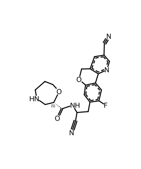 N#Cc1cnc2c(c1)COc1cc(CC(C#N)NC(=O)[C@@H]3CNCCCO3)c(F)cc1-2